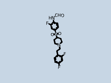 O=CNc1ccc(S(=O)(=O)C2CCN(CCc3ccc(F)cc3F)CC2)cc1F